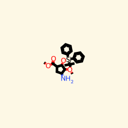 COC(=O)C1CC(N)C(OC)C1O[Si](c1ccccc1)(c1ccccc1)C(C)(C)C